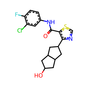 O=C(Nc1ccc(F)c(Cl)c1)c1scnc1C1CC2CC(O)CC2C1